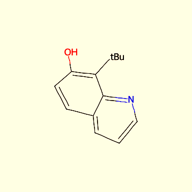 CC(C)(C)c1c(O)ccc2cccnc12